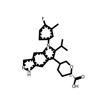 Cc1cc(-n2c(C(C)C)c(C3CC[C@@H](C(=O)O)OC3)c3cc4[nH]ncc4cc32)ccc1F